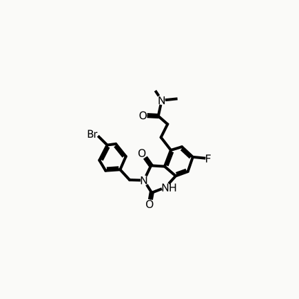 CN(C)C(=O)CCc1cc(F)cc2[nH]c(=O)n(Cc3ccc(Br)cc3)c(=O)c12